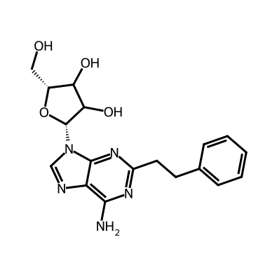 Nc1nc(CCc2ccccc2)nc2c1ncn2[C@@H]1O[C@H](CO)C(O)C1O